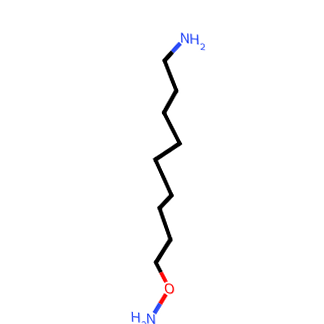 NCCCCCCCCCON